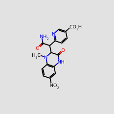 CN1c2ccc([N+](=O)[O-])cc2NC(=O)C1C(C(N)=O)c1ccc(C(=O)O)cn1